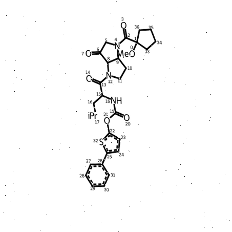 COC1(C(=O)N2CC(=O)C3C2CCN3C(=O)C(CC(C)C)NC(=O)Oc2ccc(-c3ccccc3)s2)CCCC1